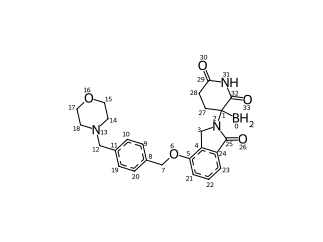 BC1(N2Cc3c(OCc4ccc(CN5CCOCC5)cc4)cccc3C2=O)CCC(=O)NC1=O